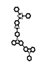 c1ccc(-c2nc(-c3ccccc3)nc(-c3ccc4nc(-c5ccc(-n6c7ccccc7c7cc(-c8ccc9c(c8)c8ccccc8n9-c8ccccc8)ccc76)cc5)sc4c3)n2)cc1